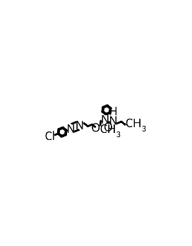 CCCCNC(=O)N(CC(C)OCCCN1CCN(c2ccc(Cl)cc2)CC1)c1ccccc1